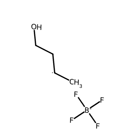 C[CH]CCO.F[B-](F)(F)F